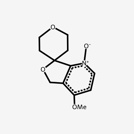 COc1cc[n+]([O-])c2c1COC21CCOCC1